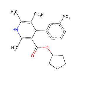 CC1=C(C(=O)O)C(c2cccc([N+](=O)[O-])c2)C(C(=O)OC2CCCC2)=C(C)N1